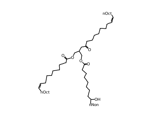 CCCCCCCC/C=C\CCCCCCCC(=O)CC(COC(=O)CCCCCCC/C=C\CCCCCCCC)COC(=O)CCCCCCCC(O)CCCCCCCCC